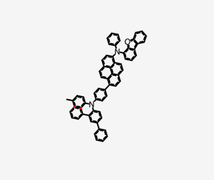 Cc1ccc(N(c2ccc(-c3ccc4ccc5c(N(c6ccccc6)c6cccc7c6oc6ccccc67)ccc6ccc3c4c65)cc2)c2ccc(-c3ccccc3)cc2-c2ccccc2)cc1